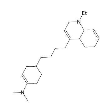 CCN1CC=C(CCCCC2CC=C(N(C)C)CC2)C2CCC=CC21